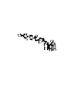 O=C(CC1CCC(CNc2cn[nH]c(=O)c2C(F)(F)F)O1)N1CCN(c2ncc(Cl)cn2)CC1